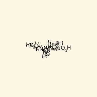 CCOc1nc(NCc2ccc(O)cc2)nc(Nc2ccc(C(=O)O)c(O)c2)n1